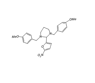 COc1ccc(CN2CCCN(Cc3ccc(OC)cc3)C2c2ccc([N+](=O)[O-])o2)cc1